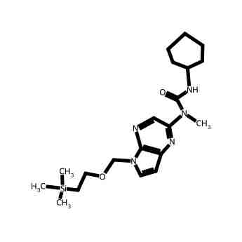 CN(C(=O)NC1CCCCC1)c1cnc2c(ccn2COCC[Si](C)(C)C)n1